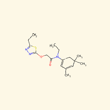 CCc1nnc(OCC(=O)N(CC)C2=CC(C)=CC(C)(C)C2)s1